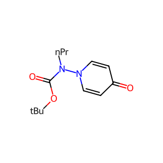 CCCN(C(=O)OC(C)(C)C)n1ccc(=O)cc1